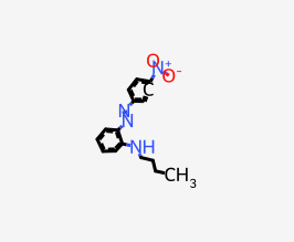 CCCCNc1ccccc1/N=N/c1ccc([N+](=O)[O-])cc1